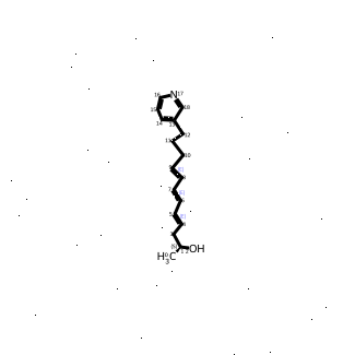 C[C@H](O)C/C=C/C=C/C=C/CCCc1cccnc1